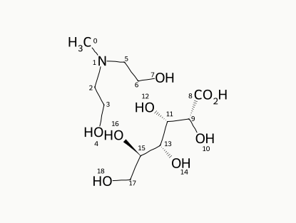 CN(CCO)CCO.O=C(O)[C@H](O)[C@@H](O)[C@H](O)[C@H](O)CO